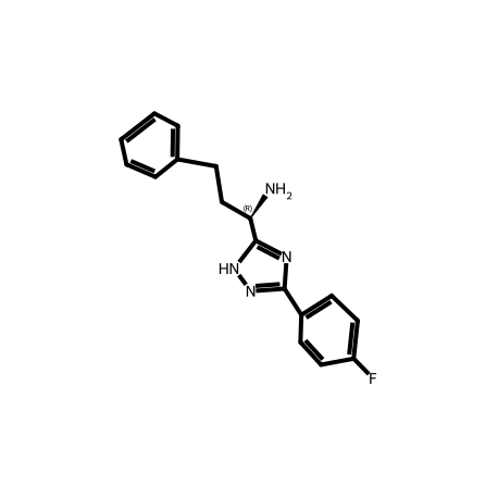 N[C@H](CCc1ccccc1)c1nc(-c2ccc(F)cc2)n[nH]1